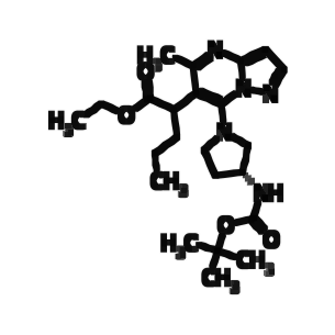 CCCC(C(=O)OCC)c1c(C)nc2ccnn2c1N1CC[C@@H](NC(=O)OC(C)(C)C)C1